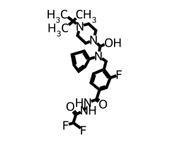 CC(C)(C)N1CCN(C(O)N(Cc2ccc(C(=O)NNC(=O)C(F)F)cc2F)c2ccccc2)CC1